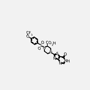 O=C(O)[C@H]1CN(c2nc3nc[nH]c(=O)c3s2)CCN1S(=O)(=O)c1ccc(OC(F)(F)F)cc1